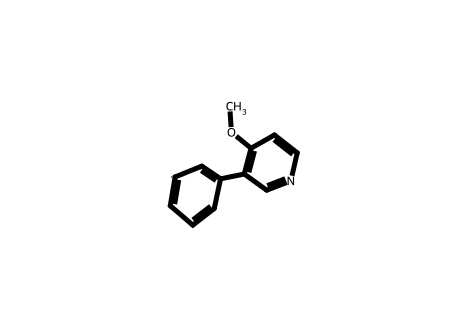 COc1ccncc1-c1c[c]ccc1